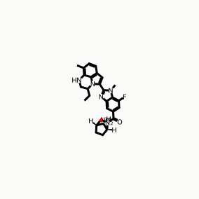 CCC1CNc2c(C)ccc3cc(-c4nc5cc(C(=O)N6C[C@H]7CC[C@@H]6[C@@H]7N)cc(F)c5n4C)n1c23